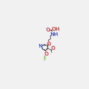 CC(=O)c1c(OCF)cncc1OCCCNC(=O)O